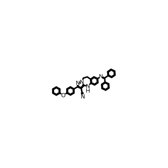 N#Cc1c(-c2ccc(Oc3ccccc3)cc2)nn2c1Nc1ccc(N=C(c3ccccc3)c3ccccc3)cc1CC2